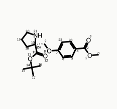 COC(=O)c1ccc(OC[C@]2(C(=O)OC(C)(C)C)CCCN2)cc1